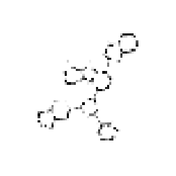 C1=C(c2nc(-c3ccccc3)nc(-c3ccc(-c4ccc5ccccc5c4)c4oc5ncccc5c34)n2)CCc2ccccc21